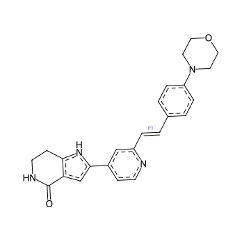 O=C1NCCc2[nH]c(-c3ccnc(/C=C/c4ccc(N5CCOCC5)cc4)c3)cc21